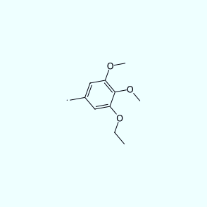 [CH2]c1cc(OC)c(OC)c(OCC)c1